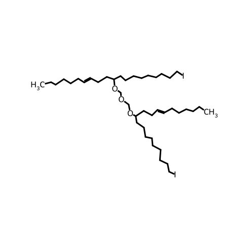 CCCCCCC=CCCC(CCCCCCCCCI)OCOCOC(CCC=CCCCCCC)CCCCCCCCCI